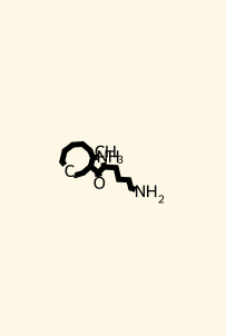 CC12CCCCCCCCC1C(=O)C(CCCCN)N2